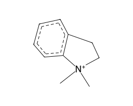 C[N+]1(C)CCc2ccccc21